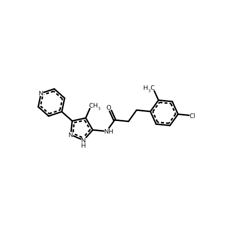 Cc1cc(Cl)ccc1CCC(=O)Nc1[nH]nc(-c2ccncc2)c1C